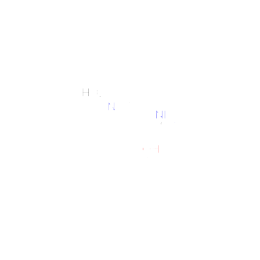 CN1CC(N)C(O)C(C2CC2)C1